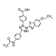 CCOc1ccc2nc(N3NC(c4ccc(NC(C)=O)cc4)=NN3c3ccc(C(=O)O)cc3)sc2c1